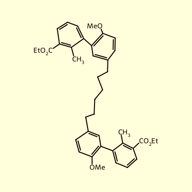 CCOC(=O)c1cccc(-c2cc(CCCCCCc3ccc(OC)c(-c4cccc(C(=O)OCC)c4C)c3)ccc2OC)c1C